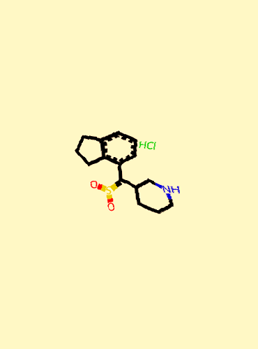 Cl.O=S(=O)=C(c1cccc2c1CCC2)C1CCCNC1